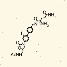 CC(=O)NC[C@H]1CN(c2ccc(-c3ccc(CNC(=O)[C@H](N)CCC(N)=O)cc3)c(F)c2)C(=O)O1